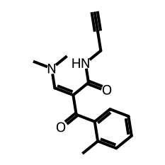 C#CCNC(=O)C(=CN(C)C)C(=O)c1ccccc1C